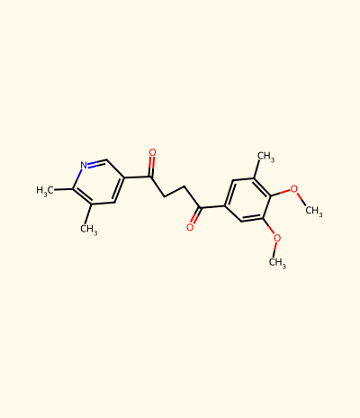 COc1cc(C(=O)CCC(=O)c2cnc(C)c(C)c2)cc(C)c1OC